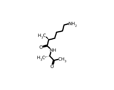 CC(=O)[C@H](C)NC(=O)[C@@H](C)CCCCN